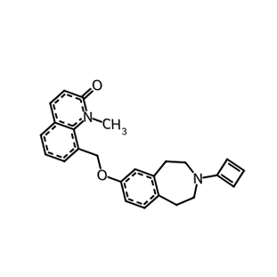 Cn1c(=O)ccc2cccc(COc3ccc4c(c3)CCN(C3=CC=C3)CC4)c21